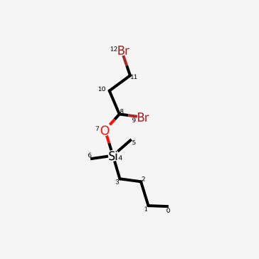 CCCC[Si](C)(C)OC(Br)CCBr